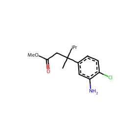 COC(=O)CC(C)(c1ccc(Cl)c(N)c1)C(C)C